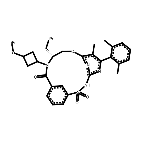 Cc1cccc(C)c1-c1nc2nc(c1C)OC[C@@H](CC(C)C)N(C1CC(OC(C)C)C1)C(=O)c1cccc(c1)S(=O)(=O)N2